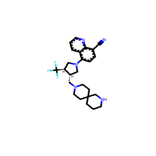 N#Cc1ccc(N2C[C@H](CN3CCC4(CCCNC4)CC3)[C@@H](C(F)(F)F)C2)c2cccnc12